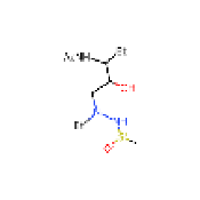 CCC(NC(C)=O)C(O)CN(CC)N[S+](C)[O-]